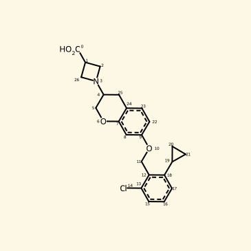 O=C(O)C1CN(C2COc3cc(OCc4c(Cl)cccc4C4CC4)ccc3C2)C1